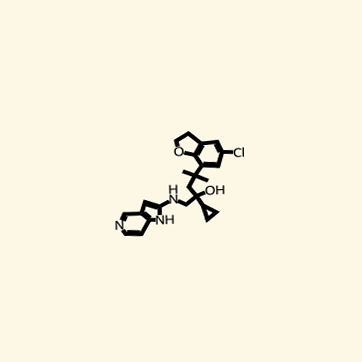 CC(C)(CC(O)(CNc1cc2cnccc2[nH]1)C1CC1)c1cc(Cl)cc2c1OCC2